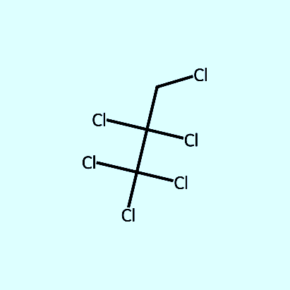 ClCC(Cl)(Cl)C(Cl)(Cl)Cl